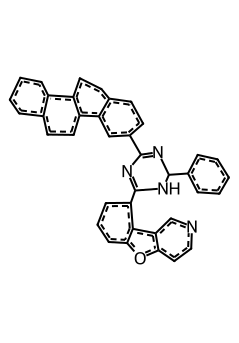 c1ccc(C2N=C(c3ccc4ccc5c6ccccc6ccc5c4c3)N=C(c3cccc4oc5ccncc5c34)N2)cc1